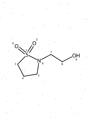 O=S1(=O)CCCN1CCO